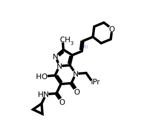 Cc1nn2c(O)c(C(=O)NC3CC3)c(=O)n(CC(C)C)c2c1/C=C/C1CCOCC1